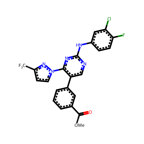 COC(=O)c1cccc(-c2cnc(Nc3ccc(F)c(Cl)c3)nc2-n2ccc(C(F)(F)F)n2)c1